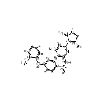 CC[C@H]1COC(=O)N1c1nc(C)nc(N[C@@H](C)c2ccc(Oc3cccnc3C(F)(F)F)cc2)n1